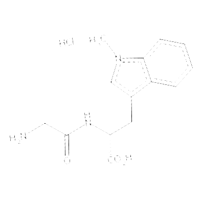 Cl.Cn1cc(C[C@@H](NC(=O)CN)C(=O)O)c2ccccc21